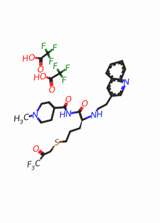 CN1CCC(C(=O)NC(=O)[C@H](CCCSCC(=O)C(F)(F)F)NCCc2cnc3ccccc3c2)CC1.O=C(O)C(F)(F)F.O=C(O)C(F)(F)F